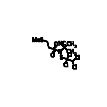 CSCCS(=O)(=O)N(SC(Cl)(Cl)C(Cl)Cl)C(C)(C)C#N